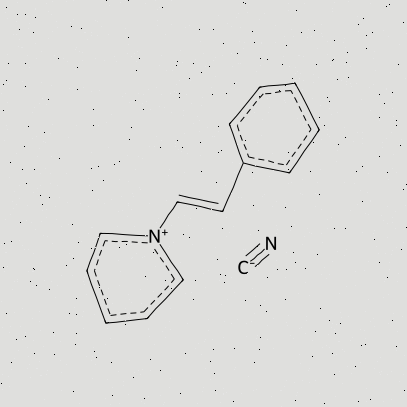 C(=C[n+]1ccccc1)c1ccccc1.[C-]#N